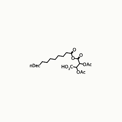 CCCCCCCCCCCCCCCCCC(=O)OC(=O)C(OC(C)=O)C(OC(C)=O)C(=O)O